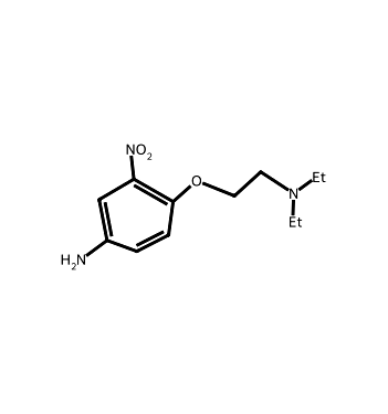 CCN(CC)CCOc1ccc(N)cc1[N+](=O)[O-]